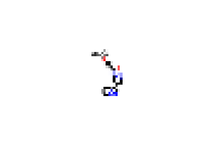 CC(C)(C)[Si](C)(C)OC1CC(C(=O)Nc2cc(-c3cnn4c3CCCC4)ccn2)C1